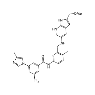 COCc1cc2c([nH]1)NCC(NCc1cc(NC(=O)c3cc(-n4cnc(C)c4)cc(C(F)(F)F)c3)ccc1C)=C2